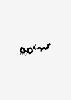 C=C/C=C\C=C(/C)COC(=O)N1CCC(C(=O)O)(c2ccccc2)CC1